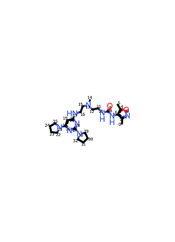 Cc1noc(C)c1NC(=O)NCCN(C)CCNc1cc(N2CCCC2)nc(N2CCCC2)n1